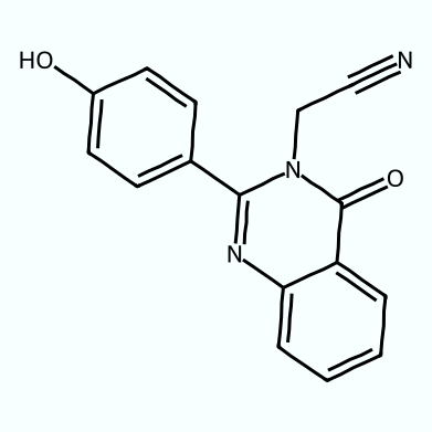 N#CCn1c(-c2ccc(O)cc2)nc2ccccc2c1=O